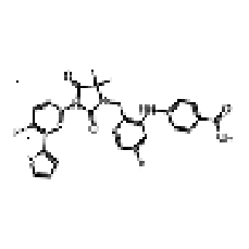 CC1(C)C(=O)N(c2ccc(F)c(-c3cccs3)c2)C(=O)N1Cc1ccc(F)cc1Nc1ccc(C(=O)O)cc1